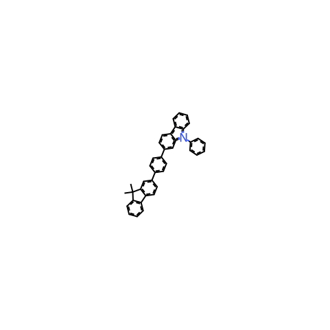 CC1(C)c2ccccc2-c2ccc(-c3ccc(-c4ccc5c6ccccc6n(-c6ccccc6)c5c4)cc3)cc21